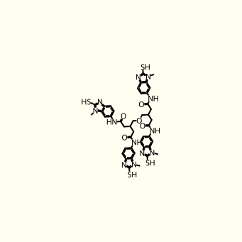 Cn1c(S)nc2ccc(NC(=O)CC(COCC(CC(=O)Nc3ccc4nc(S)n(C)c4c3)CC(=O)Nc3ccc4nc(S)n(C)c4c3)CC(=O)Nc3ccc4nc(S)n(C)c4c3)cc21